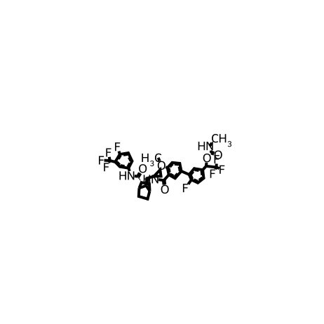 CNC(=O)OC(c1ccc(F)c(-c2ccc(OC)c(C(=O)N[C@@H]3C4CCC(/C4=C/C4CC4)[C@@H]3C(=O)Nc3ccc(F)c(C(F)(F)F)c3)c2)c1)C(F)(F)F